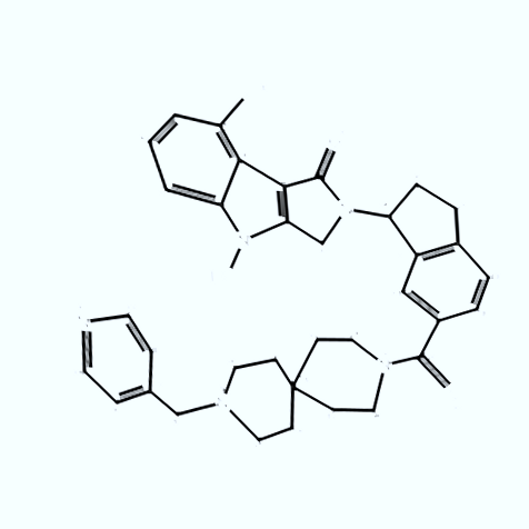 Cn1c2c(c3c(Cl)cccc31)C(=O)N(C1CCc3ccc(C(=O)N4CCC5(CCN(Cc6ccncc6)CC5)CC4)cc31)C2